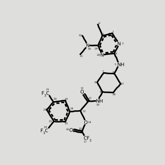 Cc1cnc(NC2CCC(NC(=O)C(OC(=O)C(F)(F)F)c3cc(C(F)(F)F)cc(C(F)(F)F)c3)CC2)nc1N(C)C